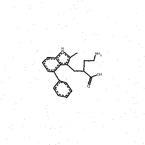 Cc1[nH]c2cccc(-c3ccccc3)c2c1CC(CCN)C(=O)O